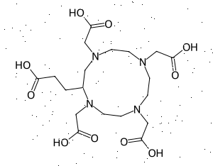 O=C(O)CCC1CN(CC(=O)O)CCN(CC(=O)O)CCN(CC(=O)O)CCN1CC(=O)O